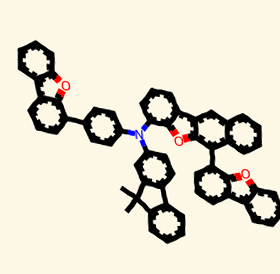 CC1(C)c2ccccc2-c2ccc(N(c3ccc(-c4cccc5c4oc4ccccc45)cc3)c3cccc4c3oc3c(-c5cccc6c5oc5ccccc56)c5ccccc5cc34)cc21